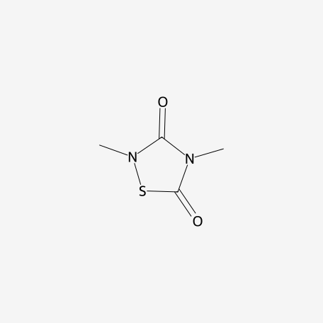 Cn1sc(=O)n(C)c1=O